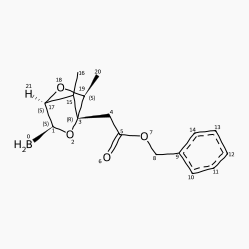 B[C@@H]1O[C@]2(CC(=O)OCc3ccccc3)C(C)[C@@H]1O[C@H]2C